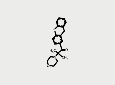 CC(C)(C(=O)c1ccc2c(c1)Cc1ccccc1S2)N1CCOCC1